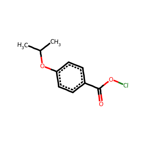 CC(C)Oc1ccc(C(=O)OCl)cc1